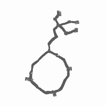 CCO[Si](CCCN1CCCNCCNCCNCC1)(OCC)OCC